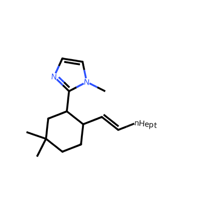 CCCCCCCC=CC1CCC(C)(C)CC1c1nccn1C